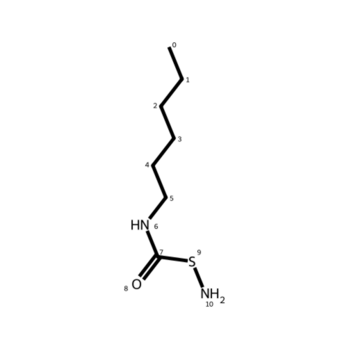 CCCCCCNC(=O)SN